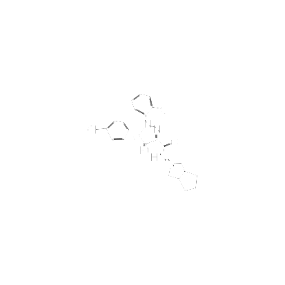 CC[C@H]1C(C(=O)NN2CC3CCCC3C2)=NN(c2ccccc2Cl)[C@H]1c1ccc(Cl)cc1